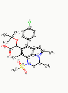 Cc1c(C(OC(C)(C)C)C(=O)O)c(-c2ccc(Cl)cc2)c2cc(C)n3c2c1N(S(C)(=O)=O)CC3C